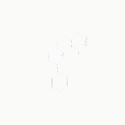 C=N/C(=N\C(c1c(C)cccc1C)=[N+](C)C)c1c(C)cccc1C